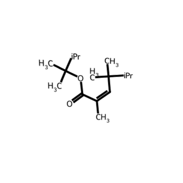 CC(=CC(C)(C)C(C)C)C(=O)OC(C)(C)C(C)C